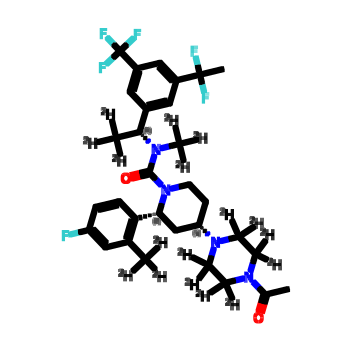 [2H]C([2H])([2H])c1cc(F)ccc1[C@H]1C[C@@H](N2C([2H])([2H])C([2H])([2H])N(C(C)=O)C([2H])([2H])C2([2H])[2H])CCN1C(=O)N([C@@H](c1cc(C(C)(F)F)cc(C(F)(F)F)c1)C([2H])([2H])[2H])C([2H])([2H])[2H]